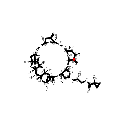 C=C1C[C@@H]2CC[C@@]34C[C@H]5O[C@H]6[C@@H](O3)[C@H]3O[C@H](CC[C@@H]3O[C@H]6[C@H]5O4)CC(=O)C[C@@H]3[C@@H](C)[C@@H](C[C@H](O)COC(=O)C4(O)CC4)O[C@H]3C[C@H]3O[C@@H](CC[C@@H]1O2)C[C@@H](C)C3=C